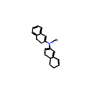 CC(C)N(C1=CCC2CCC=CC2=C1)C1=Cc2ccccc2CC1